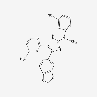 Cc1cccc(-c2[nH]c(N(C)c3cccc(C#N)c3)nc2-c2ccc3c(c2)OCO3)n1